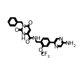 Nc1cnc(-c2ccc(CNC(=O)c3cc(=O)n(Cc4ccccc4)c(=O)[nH]3)c(OC(F)(F)F)c2)cn1